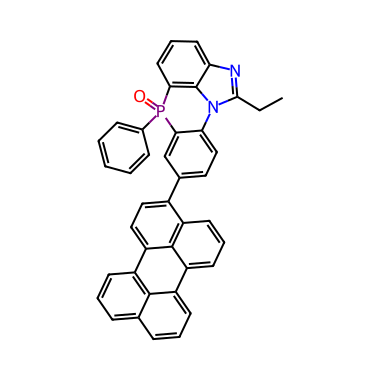 CCc1nc2cccc3c2n1-c1ccc(-c2ccc4c5cccc6cccc(c7cccc2c74)c65)cc1P3(=O)c1ccccc1